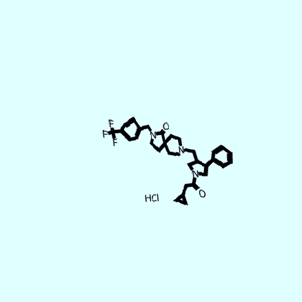 Cl.O=C(CC1CC1)N1CC(CN2CCC3(CC2)CCN(Cc2ccc(C(F)(F)F)cc2)C3=O)C(c2ccccc2)C1